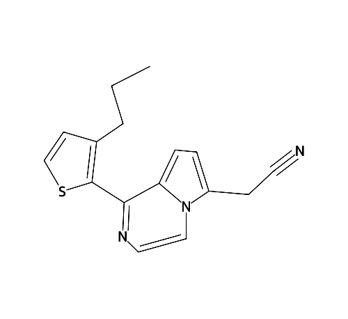 CCCc1ccsc1-c1nccn2c(CC#N)ccc12